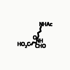 CC(=O)NCCCCCC(=O)NC(C=O)CCC(=O)O